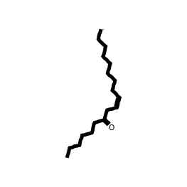 [CH2]CCCCCCC/C=C\CC(=O)CCCCCC